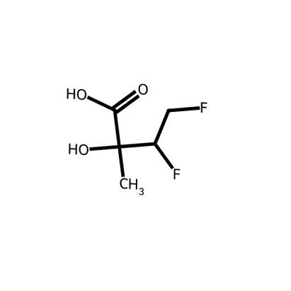 CC(O)(C(=O)O)C(F)CF